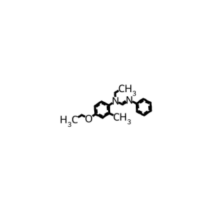 CCOc1ccc(N(C=Nc2ccccc2)CC)c(C)c1